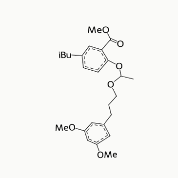 CCC(C)c1ccc(OC(C)OCCCc2cc(OC)cc(OC)c2)c(C(=O)OC)c1